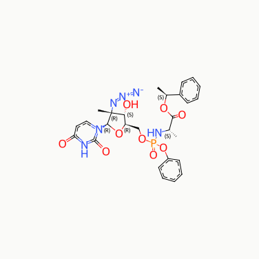 C[C@H](NP(=O)(OC[C@H]1O[C@@H](n2ccc(=O)[nH]c2=O)[C@](C)(N=[N+]=[N-])[C@@H]1O)Oc1ccccc1)C(=O)O[C@@H](C)c1ccccc1